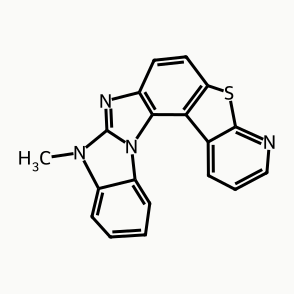 Cn1c2ccccc2n2c3c(ccc4sc5ncccc5c43)nc12